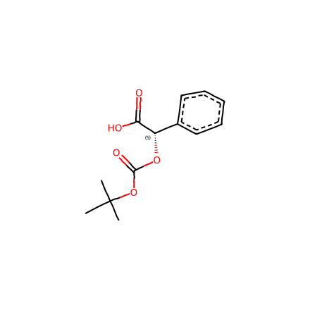 CC(C)(C)OC(=O)O[C@H](C(=O)O)c1ccccc1